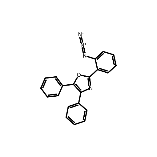 [N-]=[N+]=Nc1ccccc1-c1nc(-c2ccccc2)c(-c2ccccc2)o1